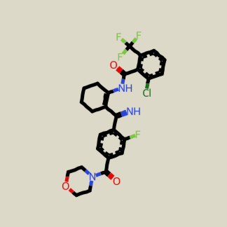 N=C(C1=C(NC(=O)c2c(Cl)cccc2C(F)(F)F)CCCC1)c1ccc(C(=O)N2CCOCC2)cc1F